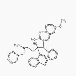 COc1ccc2nc(O)c(C(c3ccccc3)C(O)(CCN(C)Cc3ccccc3)C3=C=C=Cc4ccccc43)cc2c1